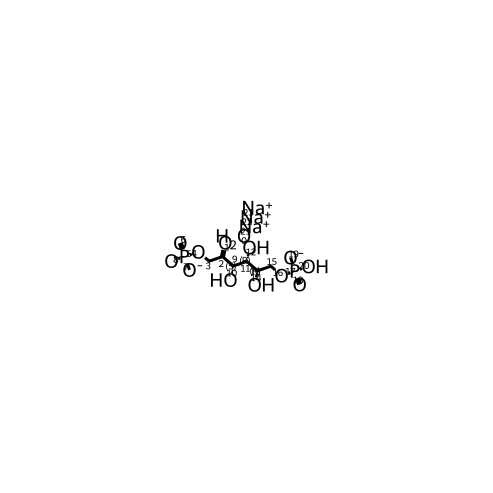 O.O=C(COP(=O)([O-])[O-])[C@@H](O)[C@H](O)[C@H](O)COP(=O)([O-])O.[Na+].[Na+].[Na+]